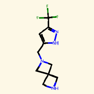 FC(F)(F)c1cc(CN2CC3(CNC3)C2)[nH]n1